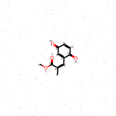 COC(=O)C(C)=CC1=CC(=O)C=CC1=O